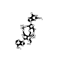 Nc1nc2c(ncn2[C@@H]2O[C@@H]3COP(=O)(O)OC4C(O)[C@H](n5cnc6c(N)ncnc65)O[C@@H]4COP(=O)(O)OC2C3OCCOCCO)c(=O)[nH]1